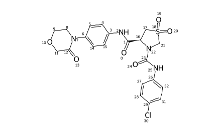 O=C(Nc1ccc(N2CCOCC2=O)cc1)[C@H]1CS(=O)(=O)CN1C(=O)Nc1ccc(Cl)cc1